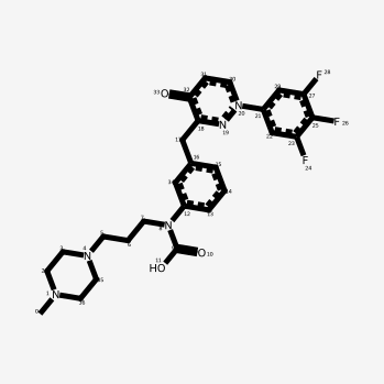 CN1CCN(CCCN(C(=O)O)c2cccc(Cc3nn(-c4cc(F)c(F)c(F)c4)ccc3=O)c2)CC1